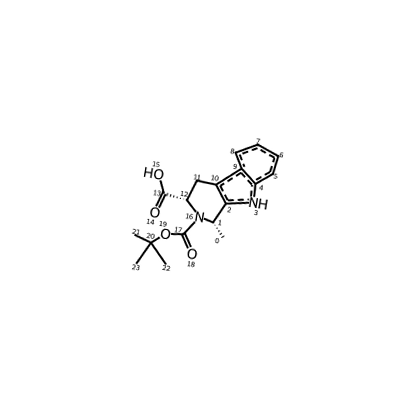 C[C@H]1c2[nH]c3ccccc3c2C[C@@H](C(=O)O)N1C(=O)OC(C)(C)C